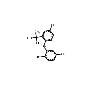 Cc1ccc(O)c(Pc2ccc(C)cc2C(C)(C)O)c1